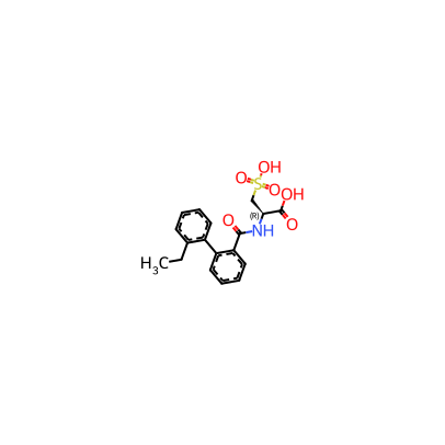 CCc1ccccc1-c1ccccc1C(=O)N[C@@H](CS(=O)(=O)O)C(=O)O